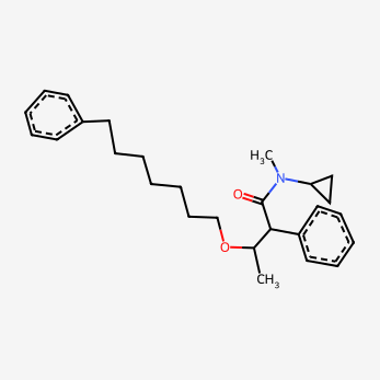 CC(OCCCCCCCc1ccccc1)C(C(=O)N(C)C1CC1)c1ccccc1